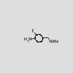 CNCc1ccc(N)c(F)c1